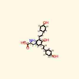 NC(Cc1cc(/C=C/c2ccc(O)cc2)c(O)c(/C=C/c2ccc(O)cc2)c1)C(=O)O